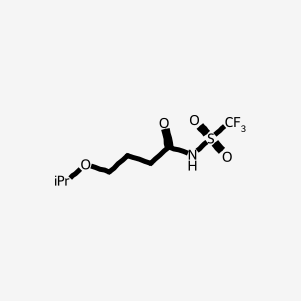 CC(C)OCCCC(=O)NS(=O)(=O)C(F)(F)F